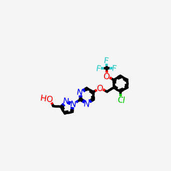 OCc1ccn(-c2ncc(OCc3c(Cl)cccc3OC(F)(F)F)cn2)n1